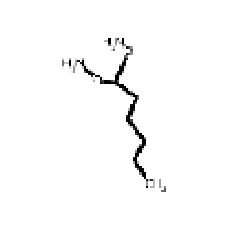 CCCCCC(ON)ON